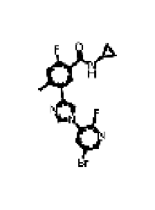 Cc1cc(F)c(C(=O)NC2CC2)cc1-c1cn(-c2cc(Br)cnc2F)cn1